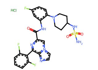 Cl.NS(=O)(=O)NC1CCN(c2ccc(F)cc2NC(=O)c2cn3ccnc3c(-c3c(F)cccc3F)n2)CC1